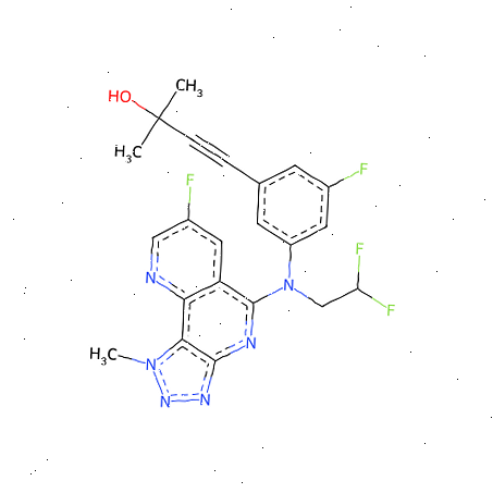 Cn1nnc2nc(N(CC(F)F)c3cc(F)cc(C#CC(C)(C)O)c3)c3cc(F)cnc3c21